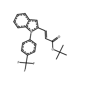 CC(C)(C)OC(=O)/C=C/c1cc2ccccc2n1-c1ccc(C(F)(F)F)cc1